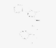 CCc1nc(-c2ncccn2)sc1C(=O)NCC(CC(C)C)c1cccnc1